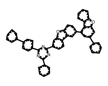 c1ccc(-c2ccc(-c3nc(-c4ccccc4)nc(-c4ccc5c(c4)oc4ccc(-c6cc(-c7ccccc7)cc7oc8ccccc8c67)cc45)n3)cc2)cc1